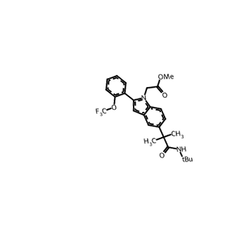 COC(=O)Cn1c(-c2ccccc2OC(F)(F)F)cc2cc(C(C)(C)C(=O)NC(C)(C)C)ccc21